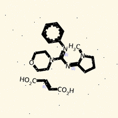 CN1CCC/C1=N/C(=N/c1ccccc1)N1CCOCC1.O=C(O)/C=C/C(=O)O